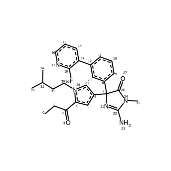 CCC(=O)c1cc(C2(c3cccc(-c4cccnc4F)c3)N=C(N)N(C)C2=O)cn1CCC(C)C